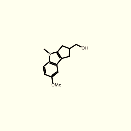 COc1ccc2c(c1)c1c(n2C)CC(CO)C1